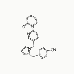 N#Cc1ccc(Cc2cccn2Cc2ccc(-n3ccccc3=O)nc2)cc1